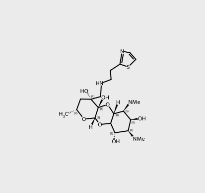 CN[C@@H]1[C@H](O)[C@H](NC)[C@H]2O[C@]3(O)[C@H](OC2[C@H]1O)O[C@H](C)C[C@@]3(O)CNCCc1nccs1